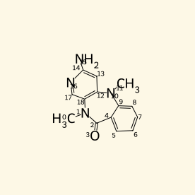 CN1C(=O)c2ccccc2N(C)c2cc(N)ncc21